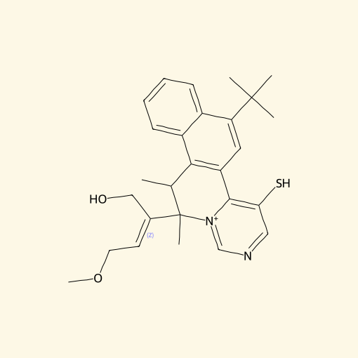 COC/C=C(\CO)C1(C)C(C)c2c(cc(C(C)(C)C)c3ccccc23)-c2c(S)cnc[n+]21